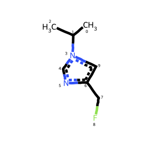 CC(C)n1cnc(CF)c1